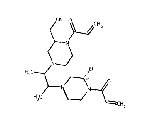 C=CC(=O)N1CCN(C(C)C(C)N2CCN(C(=O)C=C)[C@@H](CC)C2)CC1CC#N